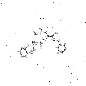 C=CC[C@H](CN(CC=C)C(=O)OCc1ccccc1)C(=O)N[C@@H](CO)Cc1ccccc1